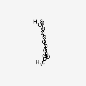 COC(=O)CCOCCOCCOCCOCCOCCOCCOS(=O)(=O)c1ccc(C)cc1